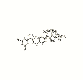 CC(c1cc(F)cc(F)c1)N1CCc2ccc(N(c3noc(C(C)(C)C)c3C(=O)O)[SH](=O)=O)cc2C1